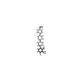 CCCC1CCC(C2CCC(C3CC=C(c4ccc(C)c(Cl)c4F)CC3)CC2)CC1